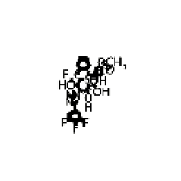 CS(=O)(=O)N1CC(O)([C@H](c2ccccc2C(F)(F)F)[SH]2C[C@H](O)[C@H](n3cc(-c4cc(F)c(F)c(F)c4)nn3)[C@@H](O)[C@H]2CO)C1